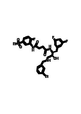 CCc1cccc(CNC[C@H](O)[C@H](Cc2cc(F)cc(F)c2)NC(=O)CCC(=O)Nc2cc(S(=O)(=O)CC)ccc2F)c1